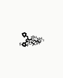 C[C@H](O)C(=O)N(CC[C@H](N)CF)[C@@H](C1=C(Cc2ccccc2)CC(c2cc(F)ccc2F)=N1)C(C)(C)C